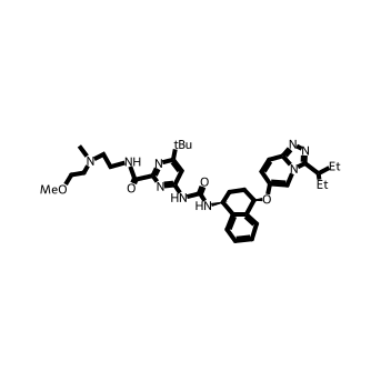 CCC(CC)c1nnc2ccc(O[C@@H]3CC[C@H](NC(=O)Nc4cc(C(C)(C)C)nc(C(=O)NCCN(C)CCOC)n4)c4ccccc43)cn12